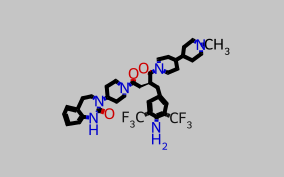 CN1CCC(C2CCN(C(=O)[C@H](CC(=O)N3CCC(N4CCc5ccccc5NC4=O)CC3)Cc3cc(C(F)(F)F)c(N)c(C(F)(F)F)c3)CC2)CC1